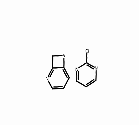 Clc1ncccn1.c1cnc2c(c1)SC2